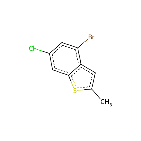 Cc1cc2c(Br)cc(Cl)cc2s1